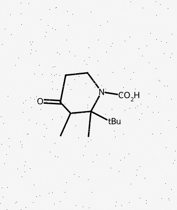 CC1C(=O)CCN(C(=O)O)C1(C)C(C)(C)C